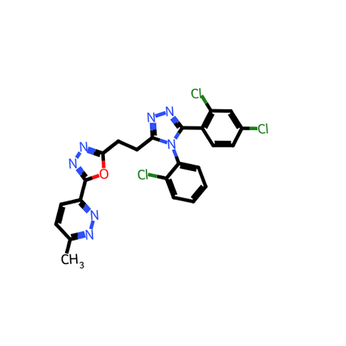 Cc1ccc(-c2nnc(CCc3nnc(-c4ccc(Cl)cc4Cl)n3-c3ccccc3Cl)o2)nn1